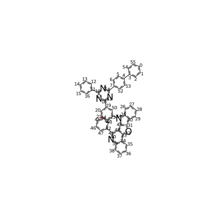 c1ccc(-c2ccc(-c3nc(-c4ccccc4)nc(-c4cccc(-n5c6ccccc6c6oc7c8ccccc8nc(-c8ccccc8)c7c65)c4)n3)cc2)cc1